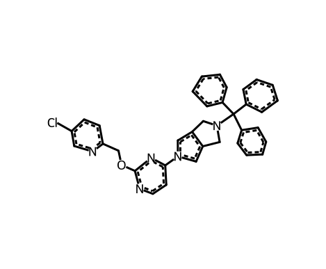 Clc1ccc(COc2nccc(-n3cc4c(c3)CN(C(c3ccccc3)(c3ccccc3)c3ccccc3)C4)n2)nc1